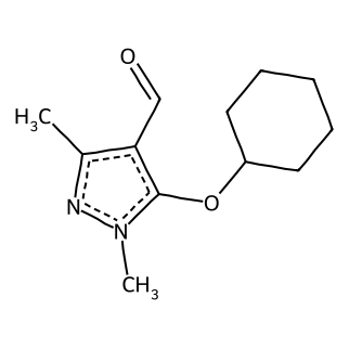 Cc1nn(C)c(OC2CCCCC2)c1C=O